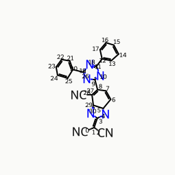 N#CC(C#N)=C1N=c2ccc(-c3nc(-c4ccccc4)nc(-c4ccccc4)n3)c(C#N)c2=N1